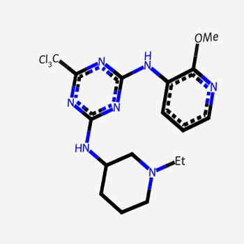 CCN1CCCC(Nc2nc(Nc3cccnc3OC)nc(C(Cl)(Cl)Cl)n2)C1